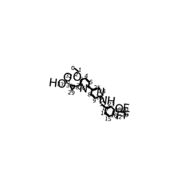 CCOc1ccc(-c2ccc(NCc3cccc(OC(F)(F)F)c3)nc2)nc1[C@H]1C[C@@H]1C(=O)O